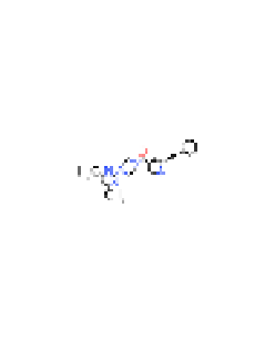 Cc1cc(C)nc(N2CCN(C(=O)c3ccnc(C#Cc4ccccc4)c3)CC2)n1